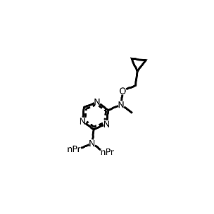 CCCN(CCC)c1ncnc(N(C)OCC2CC2)n1